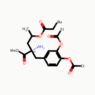 CCC(=O)Oc1ccc(C[C@](N)(CC(C)OC(=O)CC(C)CC)C(=O)OC)cc1OC(=O)CC